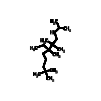 CCC(C)(CCCC(C)(C)C)C(C)(C)CNC(C)C